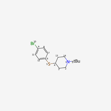 CC(C)(C)N1CCC(Sc2ccc(Br)cc2)CC1